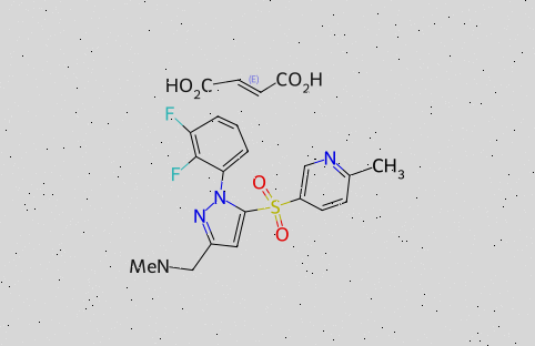 CNCc1cc(S(=O)(=O)c2ccc(C)nc2)n(-c2cccc(F)c2F)n1.O=C(O)/C=C/C(=O)O